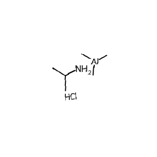 CC(C)N.Cl.[CH3][Al]([CH3])[CH3]